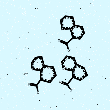 O=C([O-])c1cccc2cccnc12.O=C([O-])c1cccc2cccnc12.O=C([O-])c1cccc2cccnc12.[Sc+3]